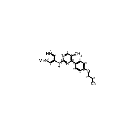 CN/C=C(\C=N)Nc1ncc(C)c(-c2ccc(OCCC#N)cc2)n1